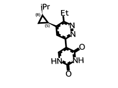 CCc1nnc(-c2c[nH]c(=O)[nH]c2=O)cc1[C@H]1C[C@@H]1C(C)C